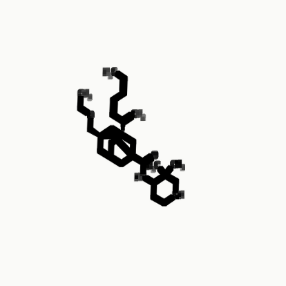 C=C(/C=C\C=C/C)[C@]12CC3CC(C(=O)NC4CCNCC4(C)C)(C[C@](COCC)(C3)C1)C2